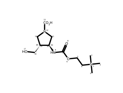 C[Si](C)(C)CCOC(=O)N[C@@H]1CN(C(=O)O)C[C@H]1CO